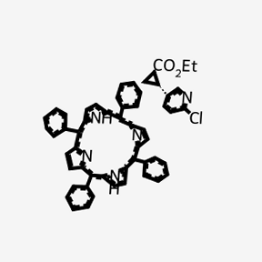 C1=Cc2nc1c(-c1ccccc1)c1ccc([nH]1)c(-c1ccccc1)c1nc(c(-c3ccccc3)c3ccc([nH]3)c2-c2ccccc2)C=C1.CCOC(=O)[C@@H]1C[C@H]1c1ccc(Cl)nc1